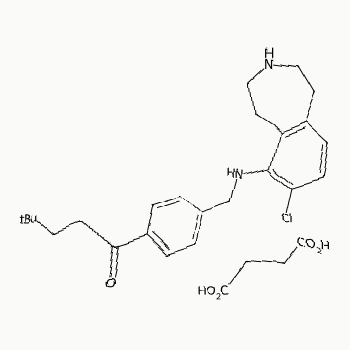 CC(C)(C)CCC(=O)c1ccc(CNc2c(Cl)ccc3c2CCNCC3)cc1.O=C(O)CCC(=O)O